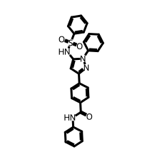 O=C(Nc1ccccc1)c1ccc(-c2cc(NS(=O)(=O)c3ccccc3)n(-c3ccccc3)n2)cc1